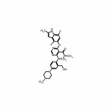 Cc1cc2c(F)c(Oc3ncnc(Nc4ccc(N5CCN(C)CC5)cc4CO)c3C(=O)N(C)C)cc(F)c2[nH]1